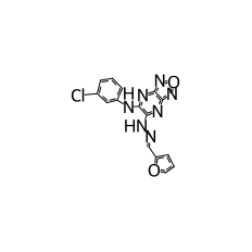 Clc1cccc(Nc2nc3nonc3nc2NN=Cc2ccco2)c1